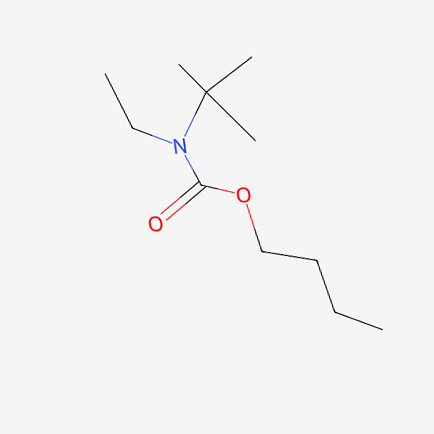 CCCCOC(=O)N(CC)C(C)(C)C